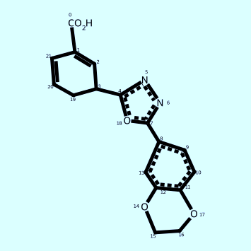 O=C(O)C1=CC(c2nnc(-c3ccc4c(c3)OCCO4)o2)CC=C1